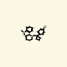 CN(C[C@@H]1CCCN(CC2(c3ccc(Cl)cc3)CCC2)C1)c1ccccc1